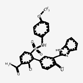 NC(=O)c1ccc(S(=O)(=O)Nc2ccc(OC(F)(F)F)cc2)c(-c2ccc(Cl)c(-c3nc4ccccc4[nH]3)c2)c1Cl